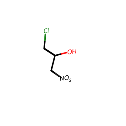 O=[N+]([O-])CC(O)CCl